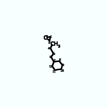 C1CO1.CCCCC1CCCCC1